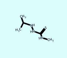 CNC(=S)NNC(C)C